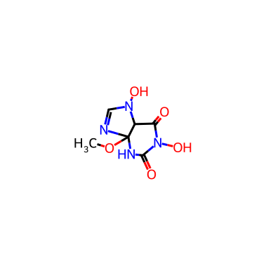 COC12N=CN(O)C1C(=O)N(O)C(=O)N2